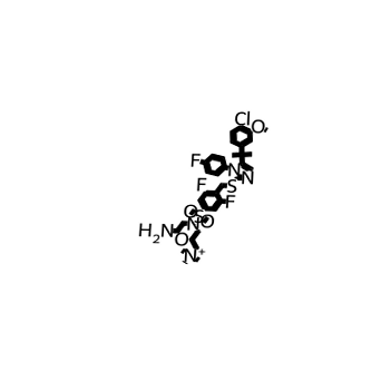 COc1cc(C(C)(C)c2cnc(SCc3c(F)cc(S(=O)(=O)N(CCC[N+](C)(C)C)CC(N)=O)cc3F)n2-c2ccc(F)cc2)ccc1Cl